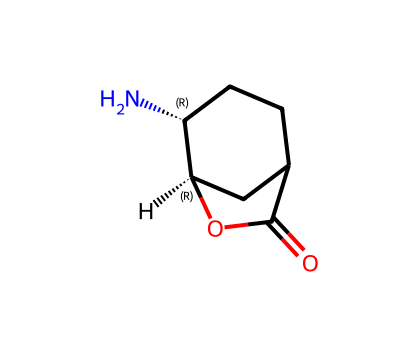 N[C@@H]1CCC2C[C@H]1OC2=O